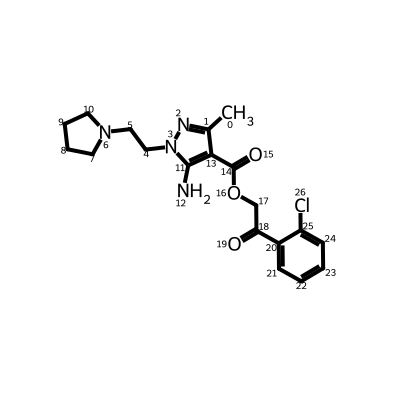 Cc1nn(CCN2CCCC2)c(N)c1C(=O)OCC(=O)c1ccccc1Cl